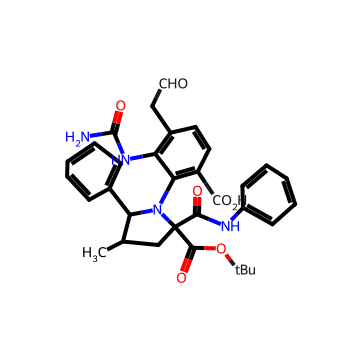 CC1CC(C(=O)Nc2ccccc2)(C(=O)OC(C)(C)C)N(c2c(C(=O)O)ccc(CC=O)c2NC(N)=O)C1c1ccccc1